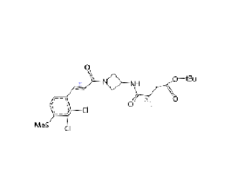 CSc1ccc(/C=C/C(=O)N2CC(NC(=O)[C@@H](C)CC(=O)OC(C)(C)C)C2)c(Cl)c1Cl